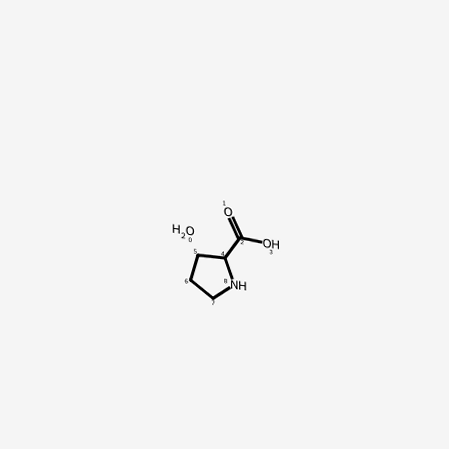 O.O=C(O)C1CCCN1